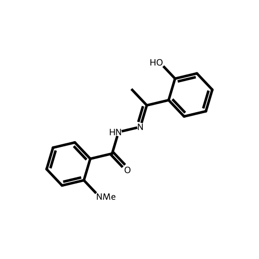 CNc1ccccc1C(=O)N/N=C(\C)c1ccccc1O